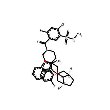 CNS(=O)(=O)c1cc(C(=O)N2CCC(CCN3[C@@H]4CC[C@H]3C[C@@H](n3c(C)nc5ccccc53)C4)(c3cccc(F)c3)CC2)c(F)cc1Cl